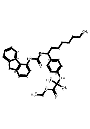 CCCCCCCC(NC(=O)Nc1cccc2c1-c1ccccc1C2)c1ccc(OC(C)(C)C(=O)OCC)cc1